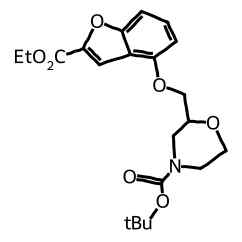 CCOC(=O)c1cc2c(OCC3CN(C(=O)OC(C)(C)C)CCO3)cccc2o1